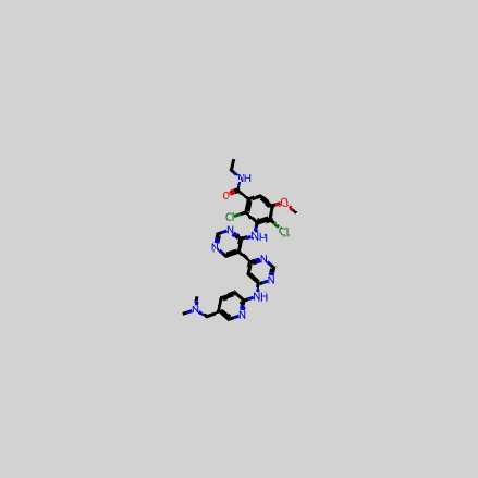 CCNC(=O)c1cc(OC)c(Cl)c(Nc2ncncc2-c2cc(Nc3ccc(CN(C)C)cn3)ncn2)c1Cl